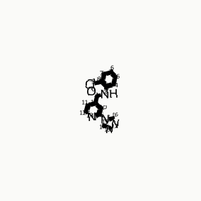 O=C(Nc1ccccc1Cl)c1ccnc(-n2cnnc2)c1